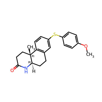 COc1ccc(Sc2ccc3c(c2)CC[C@H]2NC(=O)CC[C@]32C)cc1